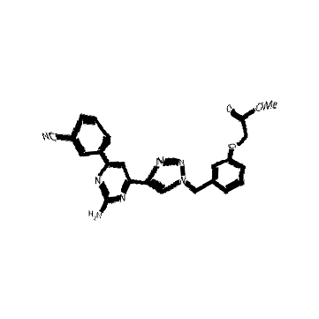 COC(=O)COc1cccc(Cn2cc(-c3cc(-c4cccc(C#N)c4)nc(N)n3)nn2)c1